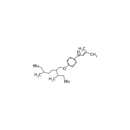 CC(C)=C[SiH2]c1ccc(OCC(CCC(C)CC(C)(C)C)C(C)CC(C)(C)C)cc1